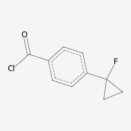 O=C(Cl)c1ccc(C2(F)CC2)cc1